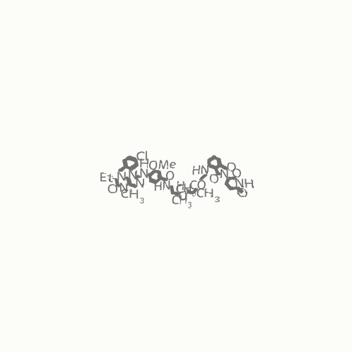 CC[C@H]1C(=O)N(C)c2cnc(Nc3ccc(C(=O)NCCC(C)(C)OCCC(C)(C)OCCNc4cccc5c4C(=O)N(C4CCC(=O)NC4=O)C5=O)cc3OC)nc2N1Cc1ccc(Cl)cc1